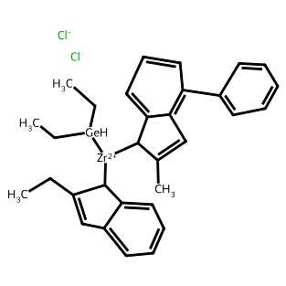 CCC1=Cc2ccccc2[CH]1[Zr+2]([CH]1C(C)=Cc2c(-c3ccccc3)cccc21)[GeH]([CH2]C)[CH2]C.[Cl-].[Cl-]